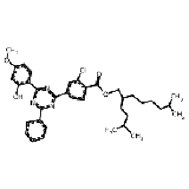 COc1ccc(-c2nc(-c3ccccc3)nc(-c3ccc(C(=O)OCC(CCCCC(C)C)CCC(C)C)c(Cl)c3)n2)c(O)c1